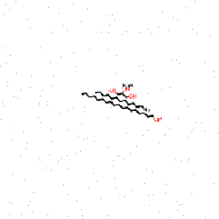 CCCCCCCCCCCCCCCCCCO.CCCCCCCCCCC[CH2][Na].OCC(O)CO.[NaH]